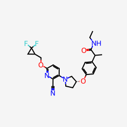 CCNC(=O)C(C)c1ccc(O[C@@H]2CCN(c3ccc(OCC4CC4(F)F)nc3C#N)C2)cc1